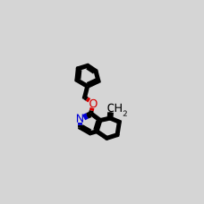 C=C1CCCc2ccnc(OCc3ccccc3)c21